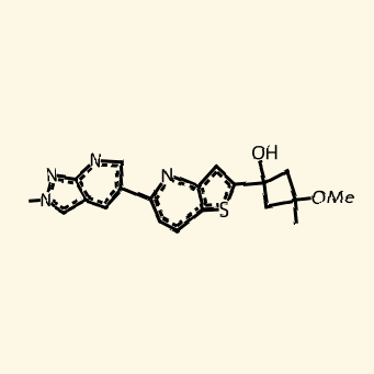 COC1(C)CC(O)(c2cc3nc(-c4cnc5nn(C)cc5c4)ccc3s2)C1